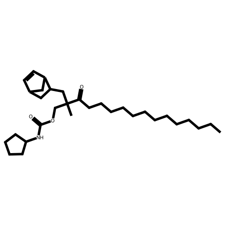 CCCCCCCCCCCCCC(=O)C(C)(COC(=O)NC1CCCC1)CC1CC2C=CC1C2